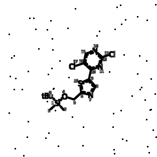 CC(C)(C)[Si](C)(C)OCc1ncc(-c2nc(Cl)ncc2Cl)s1